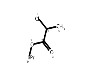 CCCOC(=O)C(C)Cl